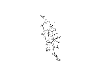 C#C[C@]1(O)CC[C@H]2[C@@H]3CC[C@H]4C[C@@H](O)CC[C@]4(C)[C@H]3CC[C@@]21C